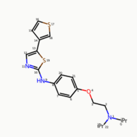 CC(C)N(CCOc1ccc(Nc2ncc(-c3ccsc3)s2)cc1)C(C)C